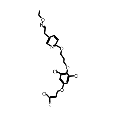 CCON=CCc1ccc(OCCCOc2c(Cl)cc(OCC=C(Cl)Cl)cc2Cl)nc1